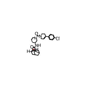 O=C(N1CC=C(c2ccc(Cl)cc2)CC1)N1CCC[C@H](NC(=O)[C@@]23CC4CC(C2)C(O)[C@H](C4)C3)C1